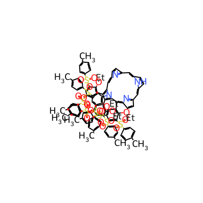 CCOc1c(-c2c(-c3cc(S(=O)(=O)c4ccc(C)cc4)cc(S(=O)(=O)c4ccc(C)cc4)c3OCC)c3c(-c4cc(S(=O)(=O)c5ccc(C)cc5)cc(S(=O)(=O)c5ccc(C)cc5)c4OCC)c4nc(cc5ccc(cc6nc(cc2n3-c2cc(S(=O)(=O)c3ccc(C)cc3)cc(S(=O)(=O)c3ccc(C)cc3)c2OCC)C=C6)[nH]5)C=C4)cc(S(=O)(=O)c2ccc(C)cc2)cc1S(=O)(=O)c1ccc(C)cc1